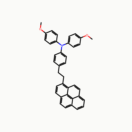 COc1ccc(N(c2ccc(CCc3ccc4ccc5cccc6ccc3c4c56)cc2)c2ccc(OC)cc2)cc1